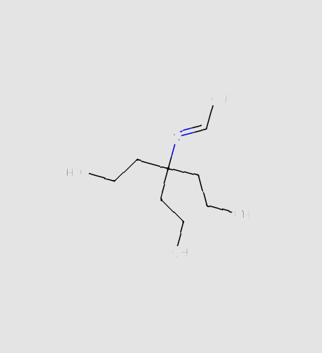 C/C=N/C(CCC)(CCC)CCC